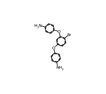 Nc1ccc(Oc2ccc(Br)c(Oc3ccc(N)cc3)c2)cc1